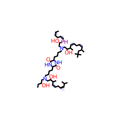 C/C=C\C/C=C\PC(O)CN(CCCCC1NC(=O)C(CCCCN(CC(O)CC)CC(O)C(C)/C=C\C/C=C\C(C)C)NC1=O)CC(O)C(C)/C=C\C/C=C\C(C)CC(C)(C)C